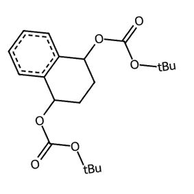 CC(C)(C)OC(=O)OC1CCC(OC(=O)OC(C)(C)C)c2ccccc21